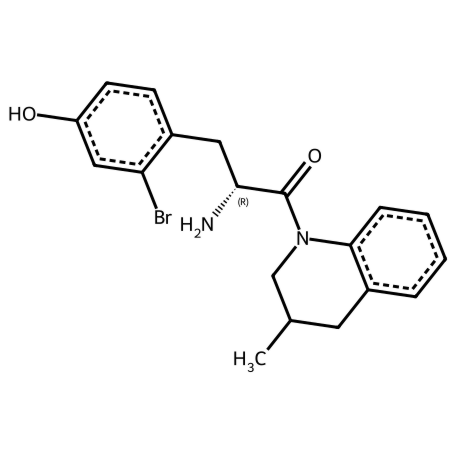 CC1Cc2ccccc2N(C(=O)[C@H](N)Cc2ccc(O)cc2Br)C1